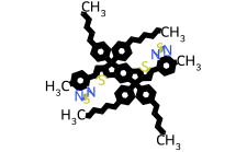 CCCCCCc1ccc(C2(c3ccc(CCCCCC)cc3)c3cc4c(cc3-c3sc(-c5ccc(C)c6nsnc56)cc32)C(c2ccc(CCCCCC)cc2)(c2ccc(CCCCCC)cc2)c2cc(-c3ccc(C)c5nsnc35)sc2-4)cc1